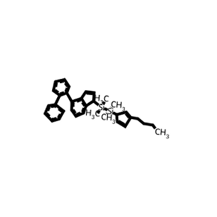 CCCCC1=CC([Si](C)(C)[Si](C)(C)C2C=Cc3c(-c4ccccc4-c4ccccc4)cccc32)C=C1